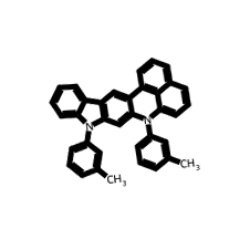 Cc1cccc(N2c3cc4c(cc3-c3cccc5cccc2c35)c2ccccc2n4-c2cccc(C)c2)c1